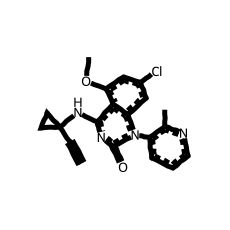 C#CC1(Nc2nc(=O)n(-c3cccnc3C)c3cc(Cl)cc(OC)c23)CC1